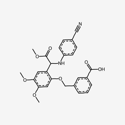 COC(=O)C(Nc1ccc(C#N)cc1)c1cc(OC)c(OC)cc1OCc1cccc(C(=O)O)c1